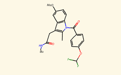 CCC(C)NC(=O)Cc1c(C)n(C(=O)c2ccc(OC(F)F)cc2)c2ccc(OC)cc12